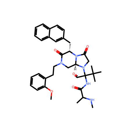 CNC(C)C(=O)NC(C=O)(N1CC(=O)N2[C@@H](Cc3ccc4ccccc4c3)C(=O)N(CCc3ccccc3OC)C[C@@H]21)C(C)(C)C